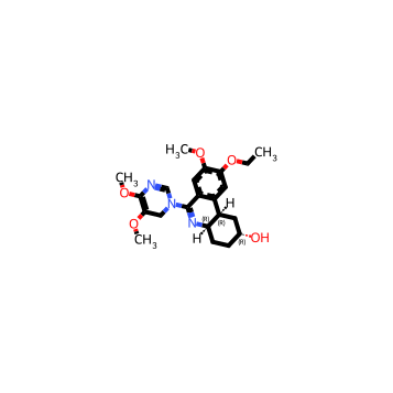 CCOc1cc2c(cc1OC)C(N1C=NC(OC)=C(OC)C1)=N[C@@H]1CC[C@@H](O)C[C@H]21